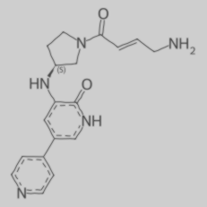 NCC=CC(=O)N1CC[C@H](Nc2cc(-c3ccncc3)c[nH]c2=O)C1